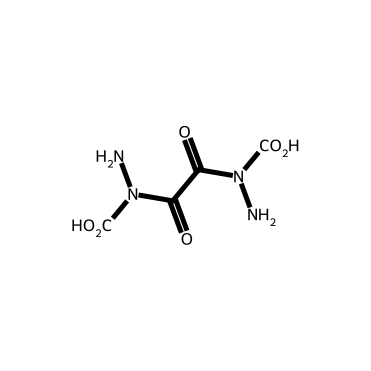 NN(C(=O)O)C(=O)C(=O)N(N)C(=O)O